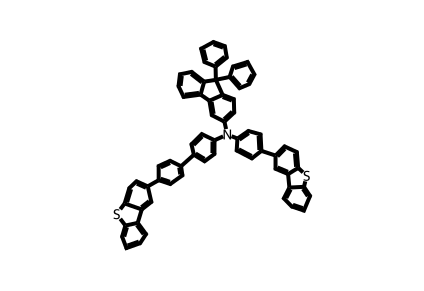 c1ccc(C2(c3ccccc3)c3ccccc3-c3cc(N(c4ccc(-c5ccc(-c6ccc7sc8ccccc8c7c6)cc5)cc4)c4ccc(-c5ccc6sc7ccccc7c6c5)cc4)ccc32)cc1